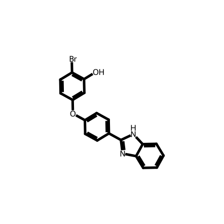 Oc1cc(Oc2ccc(-c3nc4ccccc4[nH]3)cc2)ccc1Br